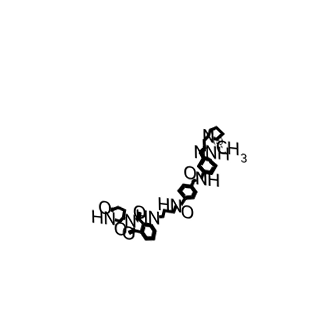 C[C@H]1CCCN1Cc1nc2cc(NC(=O)c3ccc(C(=O)NCCCNc4cccc5c4C(=O)N(C4CCC(=O)NC4=O)C5=O)cc3)ccc2[nH]1